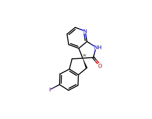 O=C1Nc2ncccc2[C@]12Cc1ccc(I)cc1C2